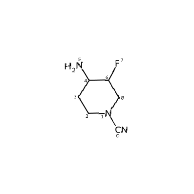 N#CN1CCC(N)C(F)C1